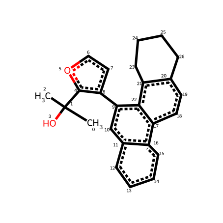 CC(C)(O)c1occc1-c1cc2ccccc2c2ccc3c(c12)CCCC3